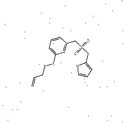 C=CCSSc1cccc(CS(=O)(=O)Cc2ccco2)c1